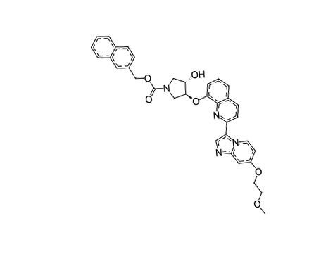 COCCOc1ccn2c(-c3ccc4cccc(O[C@H]5CN(C(=O)OCc6ccc7ccccc7c6)C[C@@H]5O)c4n3)cnc2c1